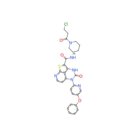 O=C(N[C@H]1CCCN(C(=O)CCCl)C1)c1sc2nccc3c2c1NC(=O)N3c1ccc(Oc2ccccc2)cn1